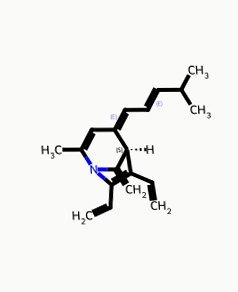 C=CC1=C(C=C)N2C(=C)[C@H]1/C(=C\C=C\C(C)C)C=C2C